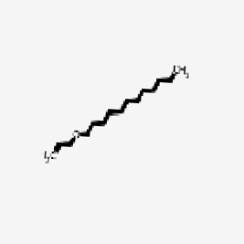 C=CCOCCCCCCCCCCCC